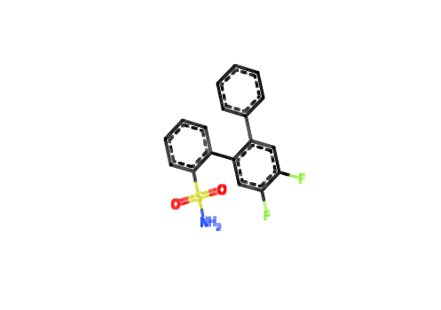 NS(=O)(=O)c1ccccc1-c1cc(F)c(F)cc1-c1ccccc1